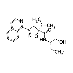 [CH2]C[C@@H]([CH]O)NC(=O)[C@]1(C(C)C)CC(c2nccc3ccccc23)=NO1